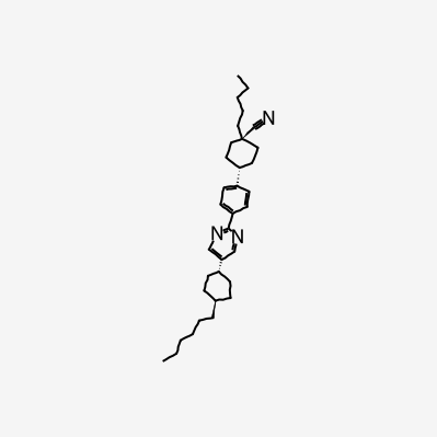 CCCCCC[C@H]1CC[C@H](c2cnc(-c3ccc([C@H]4CC[C@@](C#N)(CCCCC)CC4)cc3)nc2)CC1